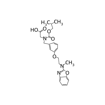 CC(C)COC(=O)N(CC(=O)O)Cc1cccc(OCCN(C)c2nc3ccccc3o2)c1